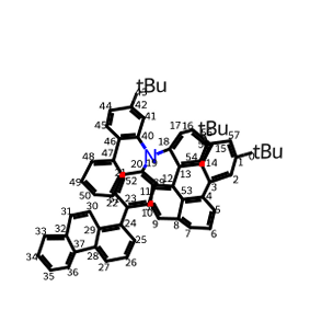 CC(C)(C)c1cc(-c2cccc3cccc(-c4ccccc4N(c4ccc(-c5cccc6c5ccc5ccccc56)cc4)c4cc(C(C)(C)C)ccc4-c4ccccc4)c23)cc(C(C)(C)C)c1